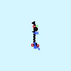 C[C@@H](NCCCCCCCN1CC(=O)N(N)C1=O)c1ccc(F)c(OCC2CC2)c1